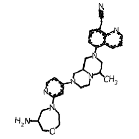 CC1CN(c2ccc(C#N)c3ncccc23)CC2CN(c3ccnc(N4CCOCC(N)C4)c3)CCN12